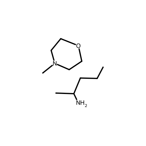 CCCC(C)N.CN1CCOCC1